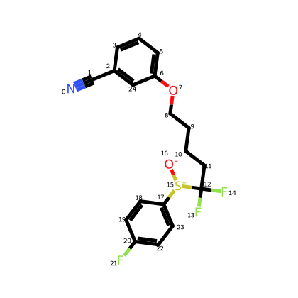 N#Cc1cccc(OCCCCC(F)(F)[S+]([O-])c2ccc(F)cc2)c1